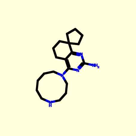 Nc1nc(N2CCCCCNCCC2)c2c(n1)C1(CCCC1)CCC2